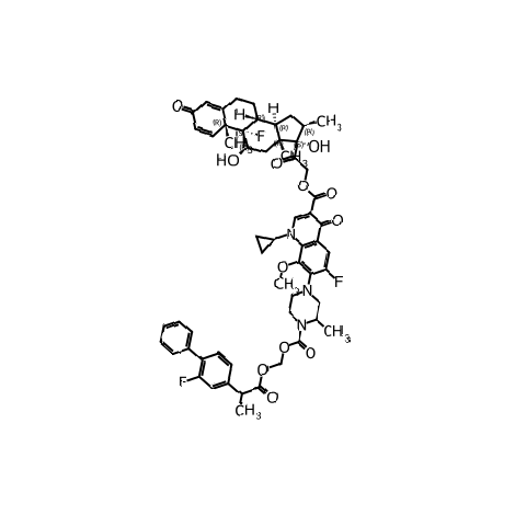 COc1c(N2CCN(C(=O)OCOC(=O)C(C)c3ccc(-c4ccccc4)c(F)c3)C(C)C2)c(F)cc2c(=O)c(C(=O)OCC(=O)[C@]3(O)[C@H](C)C[C@@H]4[C@H]5CCC6=CC(=O)C=C[C@@]6(C)[C@]5(F)[C@H](O)C[C@]43C)cn(C3CC3)c12